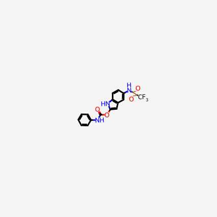 O=C(Nc1ccccc1)Oc1cc2cc(NS(=O)(=O)C(F)(F)F)ccc2[nH]1